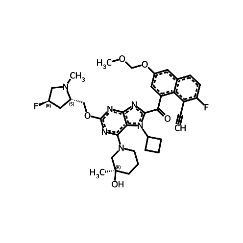 C#Cc1c(F)ccc2cc(OCOC)cc(C(=O)c3nc4nc(OC[C@@H]5C[C@@H](F)CN5C)nc(N5CCC[C@@](C)(O)C5)c4n3C3CCC3)c12